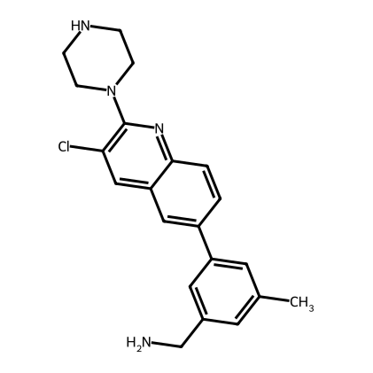 Cc1cc(CN)cc(-c2ccc3nc(N4CCNCC4)c(Cl)cc3c2)c1